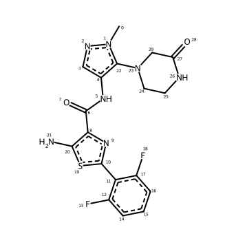 Cn1ncc(NC(=O)c2nc(-c3c(F)cccc3F)sc2N)c1N1CCNC(=O)C1